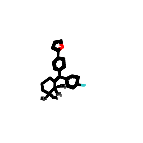 CC1(C)CCCC(=C(c2ccc(F)cc2)c2ccc(-c3ccco3)cc2)C1(C)C